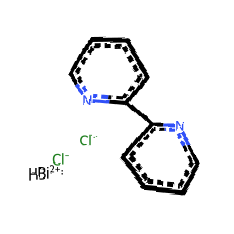 [BiH+2].[Cl-].[Cl-].c1ccc(-c2ccccn2)nc1